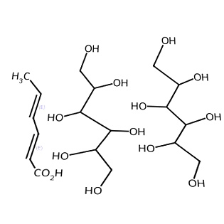 C/C=C/C=C/C(=O)O.OCC(O)C(O)C(O)C(O)CO.OCC(O)C(O)C(O)C(O)CO